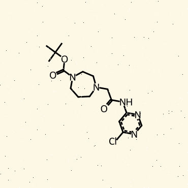 CC(C)(C)OC(=O)N1CCCN(CC(=O)Nc2cc(Cl)ncn2)CC1